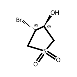 O=S1(=O)C[C@H](O)[C@@H](Br)C1